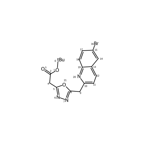 CC(C)(C)OC(=O)Cc1nnc(Cc2ccc3cc(Br)ccc3n2)o1